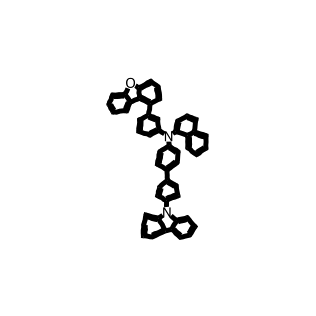 c1cc(-c2cccc3oc4ccccc4c23)cc(N(c2ccc(-c3ccc(-n4c5ccccc5c5ccccc54)cc3)cc2)c2cccc3ccccc23)c1